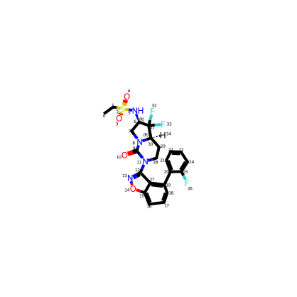 CCS(=O)(=O)N[C@@H]1CN2C(=O)N(c3noc4cccc(-c5ccccc5F)c34)CC[C@@H]2C1(F)F